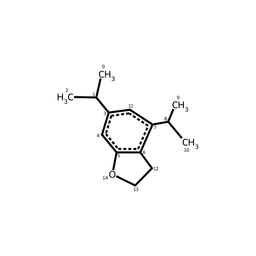 CC(C)c1cc2c(c(C(C)C)c1)CCO2